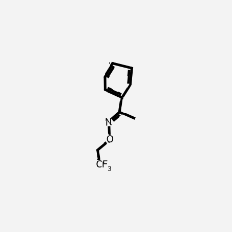 C/C(=N\OCC(F)(F)F)c1cc[c]cc1